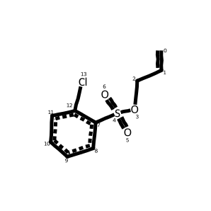 C=CCOS(=O)(=O)c1ccccc1Cl